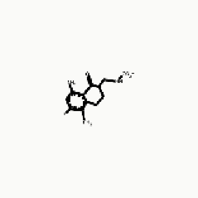 Cc1c(F)cc(N)c2c1CCC(CNC(=O)O)C2=O